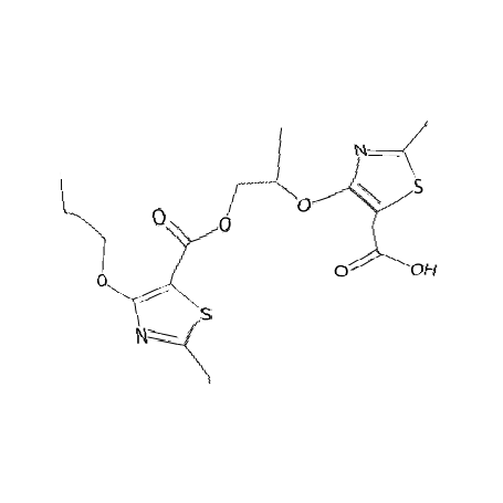 CCCOc1nc(C)sc1C(=O)OCC(C)Oc1nc(C)sc1C(=O)O